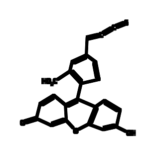 O=C(O)c1cc(C=C=C=S)ccc1-c1c2ccc(=O)cc-2oc2cc(O)ccc12